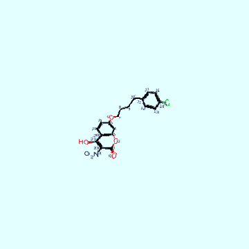 O=c1oc2cc(OCCCCc3ccc(Cl)cc3)ccc2c(O)c1[N+](=O)[O-]